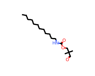 CCCCCCCCCCCCNC(=O)OCC(C)(C)C=O